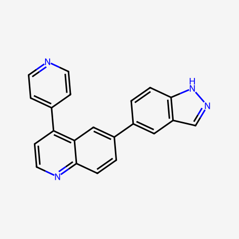 c1cc(-c2ccnc3ccc(-c4ccc5[nH]ncc5c4)cc23)ccn1